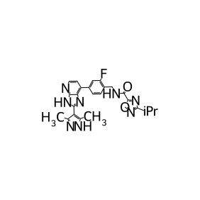 Cc1n[nH]c(C)c1-c1nc2c(-c3ccc(CNC(=O)c4nc(C(C)C)no4)c(F)c3)ccnc2[nH]1